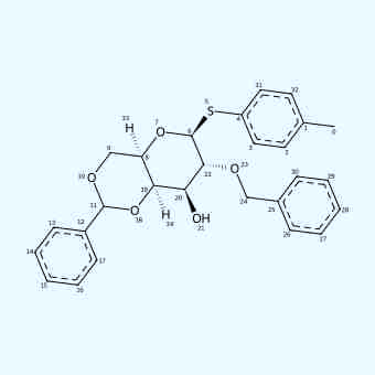 Cc1ccc(S[C@@H]2O[C@@H]3COC(c4ccccc4)O[C@@H]3[C@H](O)[C@H]2OCc2ccccc2)cc1